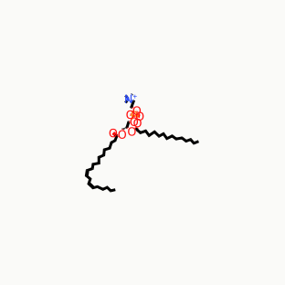 CCCCC/C=C\C/C=C\CCCCCCCCCC(=O)OC[C@H](COP(=O)([O-])OCC[N+](C)(C)C)OC(=O)CCCCCCCCCCCCCC